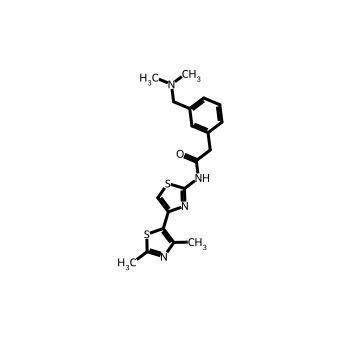 Cc1nc(C)c(-c2csc(NC(=O)Cc3cccc(CN(C)C)c3)n2)s1